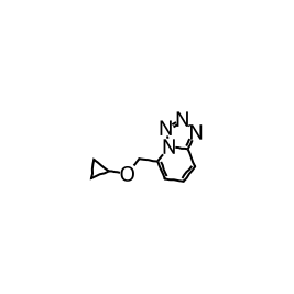 c1cc(COC2CC2)n2nnnc2c1